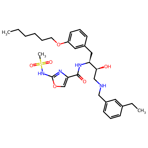 CCCCCCOc1cccc(C[C@H](NC(=O)c2coc(NS(C)(=O)=O)n2)[C@@H](O)CNCc2cccc(CC)c2)c1